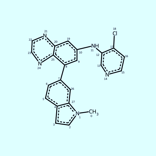 Cn1ccc2ccc(-c3cc(Nc4cnccc4Cl)cc4nccnc34)cc21